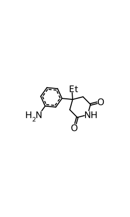 CCC1(c2cccc(N)c2)CC(=O)NC(=O)C1